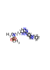 CN(CCCCc1ccc2ncnc(Nc3ccc4c(cnn4Cc4ccccc4)c3)c2c1)CCS(C)(=O)=O